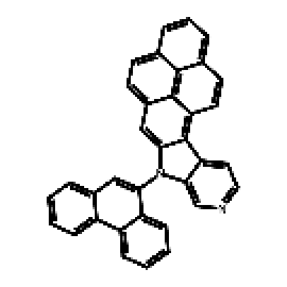 c1ccc2c(c1)cc(-n1c3cnccc3c3c4ccc5cccc6ccc(cc31)c4c65)c1ccccc12